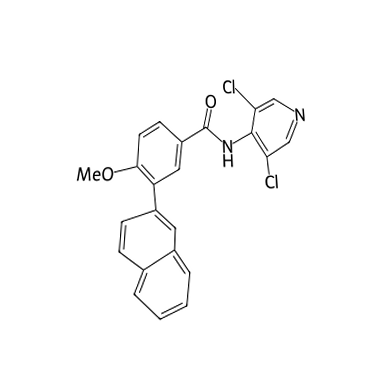 COc1ccc(C(=O)Nc2c(Cl)cncc2Cl)cc1-c1ccc2ccccc2c1